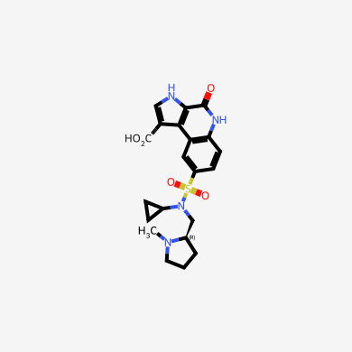 CN1CCC[C@@H]1CN(C1CC1)S(=O)(=O)c1ccc2[nH]c(=O)c3[nH]cc(C(=O)O)c3c2c1